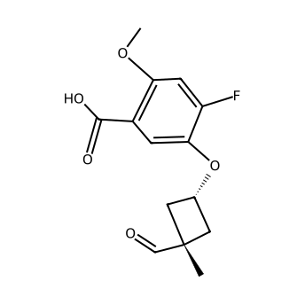 COc1cc(F)c(O[C@H]2C[C@@](C)(C=O)C2)cc1C(=O)O